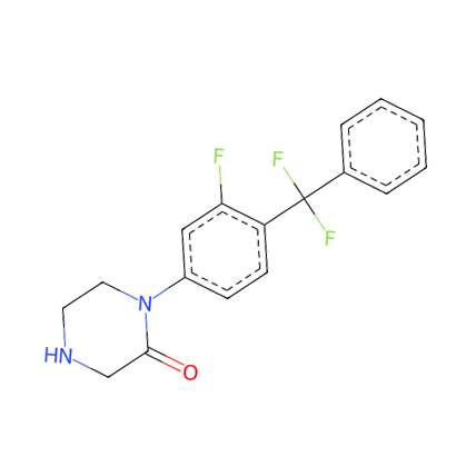 O=C1CNCCN1c1ccc(C(F)(F)c2ccccc2)c(F)c1